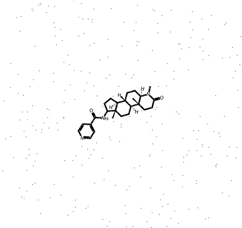 CN1C(=O)CC[C@]2(C)[C@H]3CC[C@]4(C)C(NC(=O)c5ccncc5)CC[C@H]4[C@@H]3CC[C@@H]12